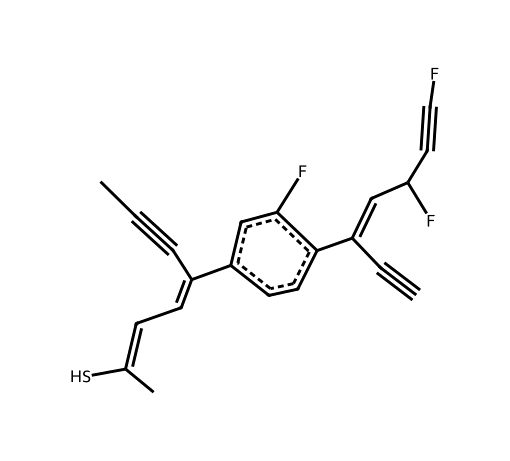 C#C/C(=C\C(F)C#CF)c1ccc(/C(C#CC)=C/C=C(\C)S)cc1F